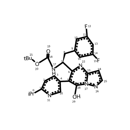 CC(C)c1ccc(-c2c([C@H](Cc3cc(F)cc(F)c3)NC(=O)OC(C)(C)C)nc3ccnn3c2O)cn1